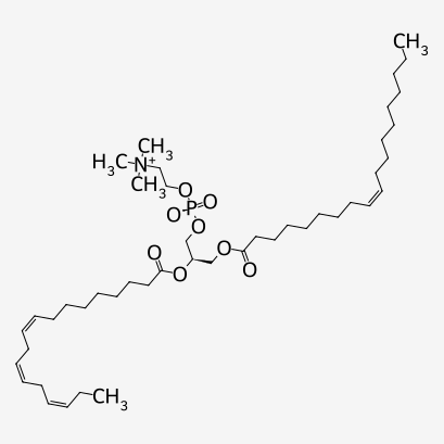 CC/C=C\C/C=C\C/C=C\CCCCCCCC(=O)O[C@H](COC(=O)CCCCCCC/C=C\CCCCCCCCC)COP(=O)([O-])OCC[N+](C)(C)C